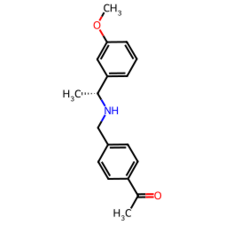 COc1cccc([C@@H](C)NCc2ccc(C(C)=O)cc2)c1